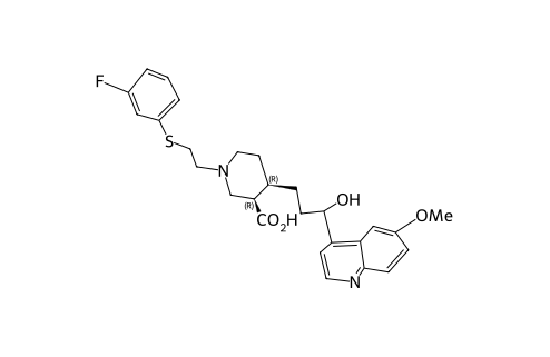 COc1ccc2nccc(C(O)CC[C@@H]3CCN(CCSc4cccc(F)c4)C[C@@H]3C(=O)O)c2c1